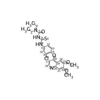 CCN(CC)C(=O)NC(=S)Nc1ccc(Oc2ccnc3cc(OC)c(OC)cc23)c(Cl)c1